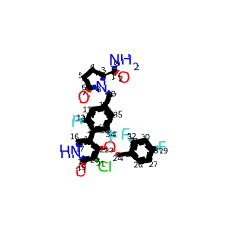 NC(=O)[C@@H]1CCC(=O)N1Cc1cc(F)c(-c2c[nH]c(=O)c(Cl)c2OCc2ccc(F)cc2F)c(F)c1